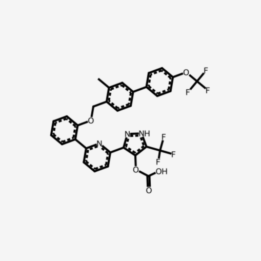 Cc1cc(-c2ccc(OC(F)(F)F)cc2)ccc1COc1ccccc1-c1cccc(-c2n[nH]c(C(F)(F)F)c2OC(=O)O)n1